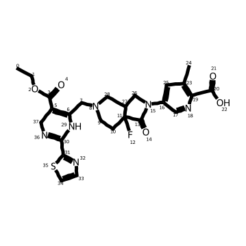 CCOC(=O)C1=C(CN2CCC3(F)C(=O)N(c4cnc(C(=O)O)c(C)c4)CC3C2)NC(c2nccs2)=NC1